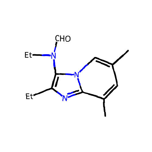 CCc1nc2c(C)cc(C)cn2c1N(C=O)CC